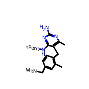 CCCCCNc1nc(N)nc(C)c1Cc1ccc(CNC)cc1C